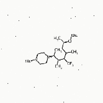 CC(CC(C)C(C(C)C(C)N1CCN(C(C)(C)C)CC1)C(F)(F)F)OC(C)(C)C